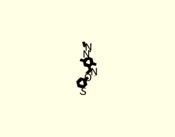 CCN(C)C=Nc1cc(C)c(C(COc2cccc(SC)c2)=NC)cc1C